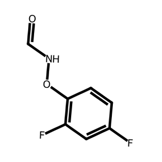 O=CNOc1ccc(F)cc1F